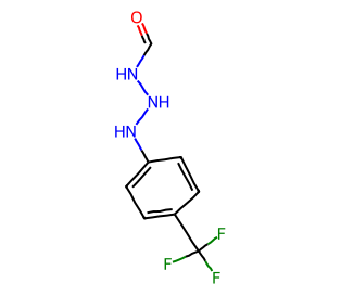 O=CNNNc1ccc(C(F)(F)F)cc1